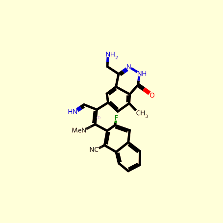 CN/C(=C(\C=N)c1cc(C)c2c(=O)[nH]nc(CN)c2c1)c1c(F)cc2ccccc2c1C#N